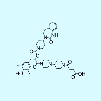 Cc1cc(CC(OC(=O)N2CCC(N3CCc4ccccc4NC3=O)CC2)C(=O)N2CCN(C3CCN(C(=O)CCC(=O)O)CC3)CC2)cc(C)c1O